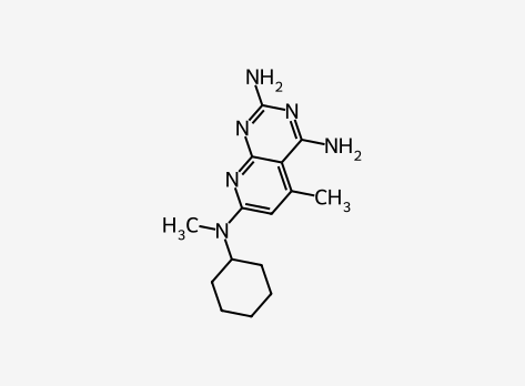 Cc1cc(N(C)C2CCCCC2)nc2nc(N)nc(N)c12